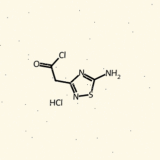 Cl.Nc1nc(CC(=O)Cl)ns1